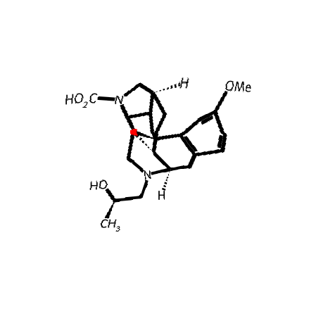 COc1ccc2c(c1)[C@]13CCN(C[C@@H](C)O)[C@H](C2)[C@]12CCC1C3[C@@H](CN1C(=O)O)C2